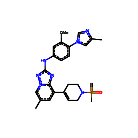 C=S(C)(=O)N1CC=C(c2cc(C)cn3nc(Nc4ccc(-n5cnc(C)c5)c(OC)c4)nc23)CC1